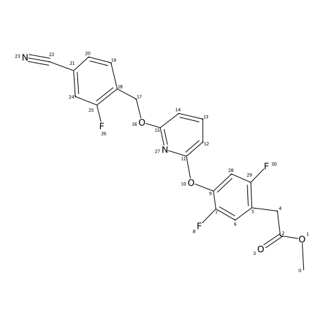 COC(=O)Cc1cc(F)c(Oc2cccc(OCc3ccc(C#N)cc3F)n2)cc1F